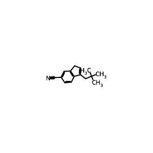 CC(C)(C)CC1=CCc2cc(C#N)ccc21